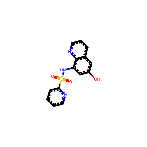 O=S(=O)(Nc1cc(O)cc2cccnc12)c1ccccn1